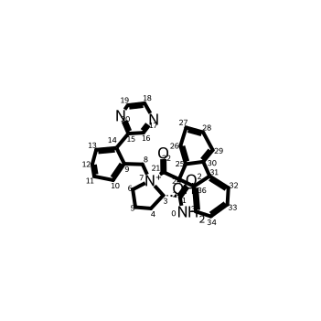 NC(=O)[C@@H]1CCC[N+]1(Cc1ccccc1-c1cnccn1)C(=O)C1(O)c2ccccc2-c2ccccc21